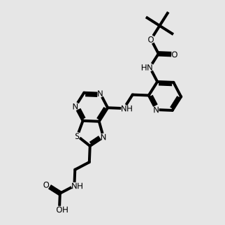 CC(C)(C)OC(=O)Nc1cccnc1CNc1ncnc2sc(CCNC(=O)O)nc12